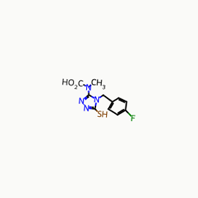 CN(C(=O)O)c1nnc(S)n1Cc1ccc(F)cc1